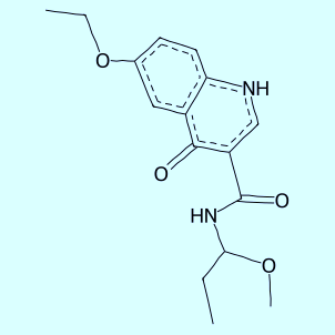 CCOc1ccc2[nH]cc(C(=O)NC(CC)OC)c(=O)c2c1